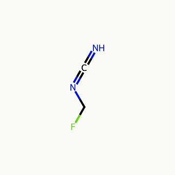 N=C=NCF